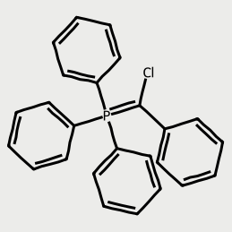 ClC(c1ccccc1)=P(c1ccccc1)(c1ccccc1)c1ccccc1